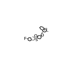 CC(=O)C(Cc1ccc(F)cc1)Sc1ccc(OCc2cc(C)nc3ccccc23)cc1